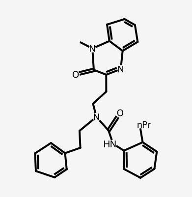 CCCc1ccccc1NC(=O)N(CCc1ccccc1)CCc1nc2ccccc2n(C)c1=O